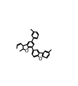 C/C=C\C1c2cc(-c3cccc(C)c3)cc(-c3ccc4oc5ccc(C)cc5c4c3)c2OC1C